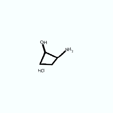 Cl.NC1CCC1O